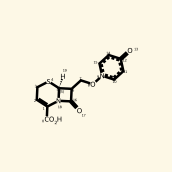 O=C(O)C1=CCS[C@H]2C(COn3ccc(=O)cc3)C(=O)N12